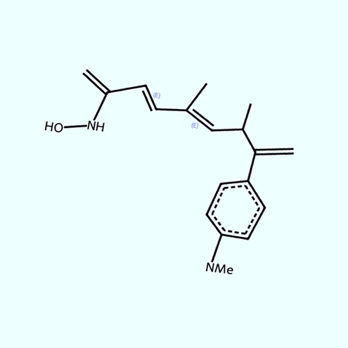 C=C(/C=C/C(C)=C/C(C)C(=C)c1ccc(NC)cc1)NO